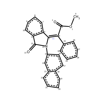 COC(=O)/C(=C1\c2ccccc2C(=O)N1c1ccc2ccccc2c1)c1ccccc1